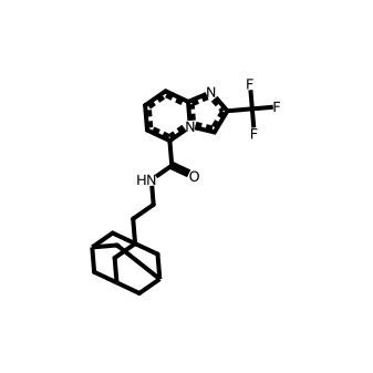 O=C(NCCC12CC3CC(CC(C3)C1)C2)c1cccc2nc(C(F)(F)F)cn12